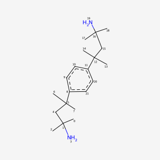 CC(C)(N)CC(C)(C)c1ccc(C(C)(C)CC(C)(C)N)cc1